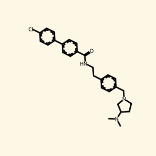 CN(C)C1CCN(Cc2ccc(CCNC(=O)c3ccc(-c4ccc(Cl)cc4)cc3)cc2)C1